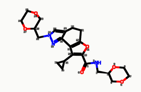 O=C(NC[C@@H]1COCCO1)c1oc2c(c1C1CC1)-c1nn(CC3COCCO3)cc1CC2